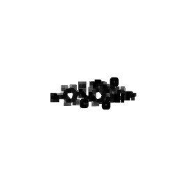 CCCN1C(=O)C(CC(C)C)NC(=O)C12CCN(C(=O)Nc1ccc(Br)cc1)CC2